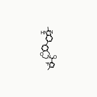 Cc1nc2ccc(-c3ccc4c(c3)CN(C(=O)c3ccc(C)n3C)CCO4)cc2[nH]1